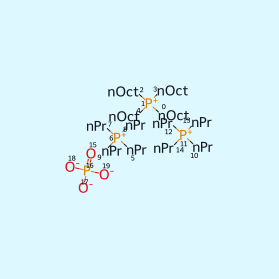 CCCCCCCC[P+](CCCCCCCC)(CCCCCCCC)CCCCCCCC.CCC[P+](CCC)(CCC)CCC.CCC[P+](CCC)(CCC)CCC.O=P([O-])([O-])[O-]